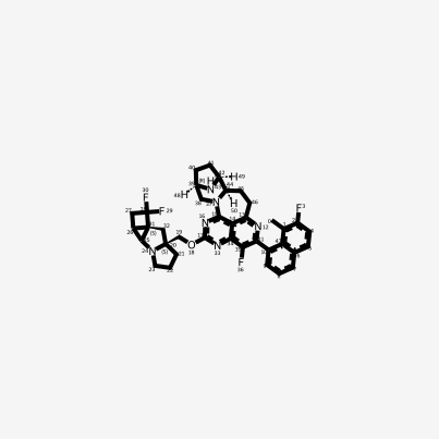 Cc1c(F)ccc2cccc(-c3nc4c5c(nc(OC[C@@]67CCCN6C6C8CC(F)(F)[C@@]86C7)nc5c3F)N3C[C@H]5CC[C@H](N5)[C@H]3CC4)c12